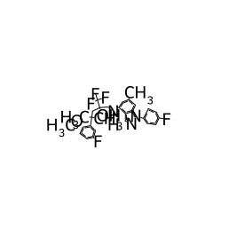 COc1ccc(F)cc1C(C)(C)CC(O)(CNc1cc(C)cc2c1cnn2-c1ccc(F)cc1)C(F)(F)F